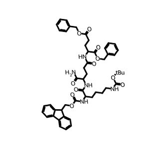 CC(C)(C)OC(=O)NCCCCC(NC(=O)OCC1c2ccccc2-c2ccccc21)C(=O)NC(CCC(=O)NC(CCC(=O)OCc1ccccc1)C(=O)OCc1ccccc1)C(N)=O